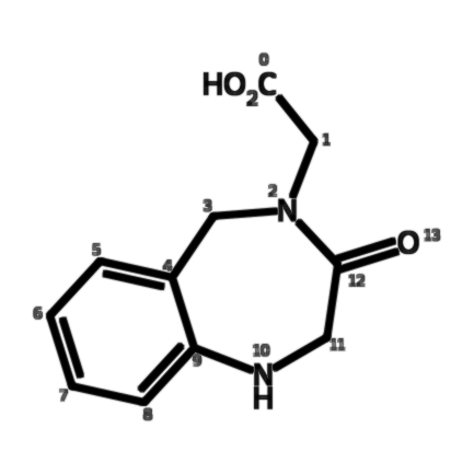 O=C(O)CN1Cc2ccccc2NCC1=O